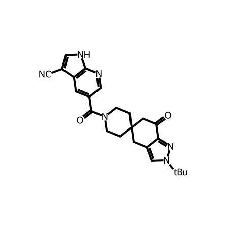 CC(C)(C)n1cc2c(n1)C(=O)CC1(CCN(C(=O)c3cnc4[nH]cc(C#N)c4c3)CC1)C2